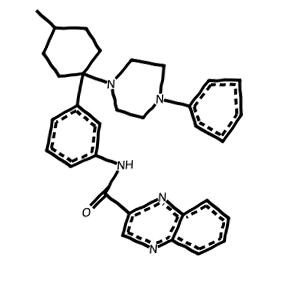 CC1CCC(c2cccc(NC(=O)c3cnc4ccccc4n3)c2)(N2CCN(c3ccccc3)CC2)CC1